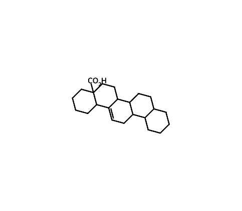 O=C(O)C12CCCCC1C1=CCC3C4CCCCC4CCC3C1CC2